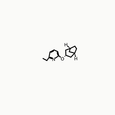 CCc1cccc(O[C@@H]2C[C@@H]3CC[C@@H](C3)C2)n1